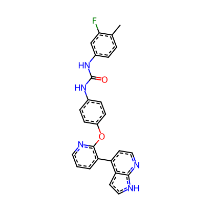 Cc1ccc(NC(=O)Nc2ccc(Oc3ncccc3-c3ccnc4[nH]ccc34)cc2)cc1F